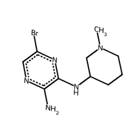 CN1CCCC(Nc2nc(Br)cnc2N)C1